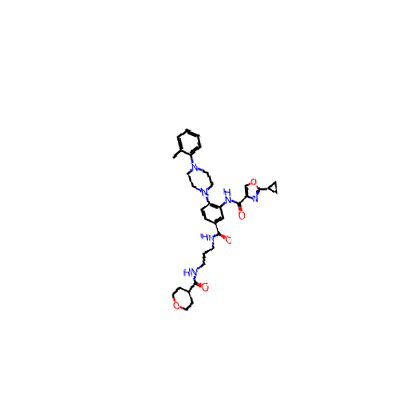 Cc1ccccc1N1CCN(c2ccc(C(=O)NCCCNC(=O)C3CCOCC3)cc2NC(=O)c2coc(C3CC3)n2)CC1